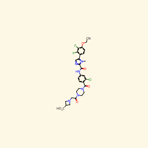 Cn1c(-c2ccc(OCC#N)c(F)c2F)cnc1C(=O)Nc1ccc(C(=O)N2CCN(C(=O)CN3CC(C(=O)O)C3)CC2)c(Cl)c1